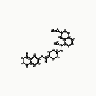 COc1ccc2nccc([C@@H](O)CN3CCC(NCc4ccc5c(n4)NCCO5)CC3)c2n1